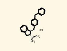 CN(C)[C@@H]1Cc2ccccc2[C@H]1Cc1ccc(Cc2ccccc2)cc1.Cl